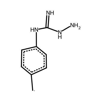 [CH2]c1ccc(NC(=N)NN)cc1